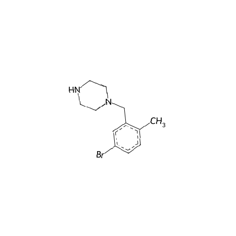 Cc1ccc(Br)cc1CN1CCNCC1